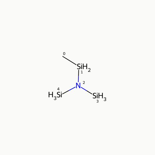 C[SiH2]N([SiH3])[SiH3]